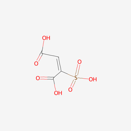 O=C(O)/C=C(\C(=O)O)S(=O)(=O)O